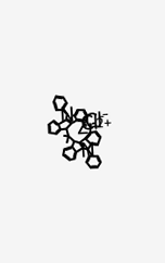 CC1(C)C2c3ccccc3-c3c2c2[c](cccc2n3-c2ccccc2)[Zr+2][c]2cccc3c2c2c(n3-c3ccccc3)-c3ccccc3C21.[Cl-].[Cl-]